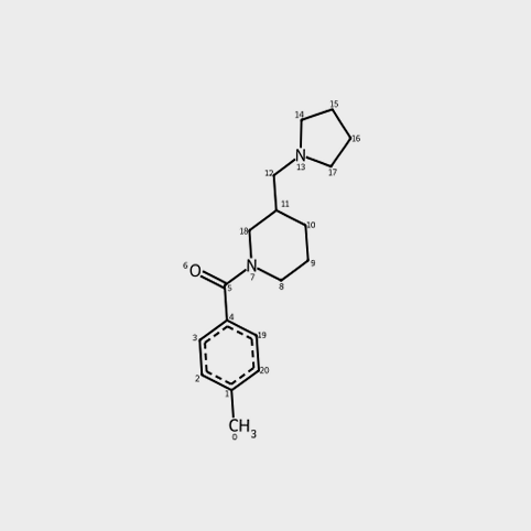 Cc1ccc(C(=O)N2CCCC(CN3CCCC3)C2)cc1